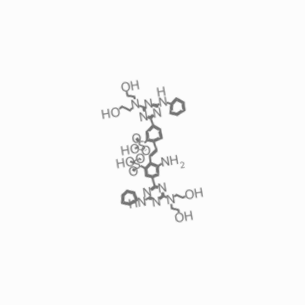 Nc1cc(-c2nc(Nc3ccccc3)nc(N(CCO)CCO)n2)cc(S(=O)(=O)O)c1C=Cc1ccc(-c2nc(Nc3ccccc3)nc(N(CCO)CCO)n2)cc1S(=O)(=O)O